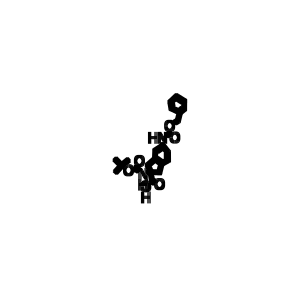 CC(C)(C)OC(=O)NC1(C(=O)O)Cc2ccc(NC(=O)OCc3ccccc3)cc2C1